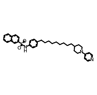 O=S(=O)(Nc1ccc(CCCCCCCCCC2CCN(c3ccncc3)CC2)cc1)c1ccc2ccccc2c1